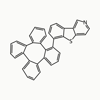 c1ccc2c(c1)-c1ccccc1-c1cccc(-c3cccc4c3sc3ccncc34)c1-c1ccccc1-2